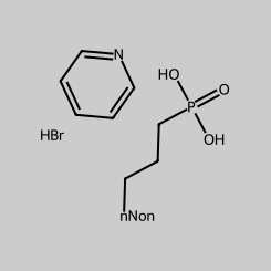 Br.CCCCCCCCCCCCP(=O)(O)O.c1ccncc1